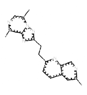 Cc1cc2ccc(CCc3nc4c(C)ncc(C)n4n3)nc2cn1